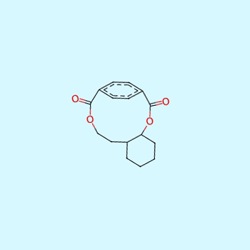 O=C1OCCC2CCCCC2OC(=O)c2ccc1cc2